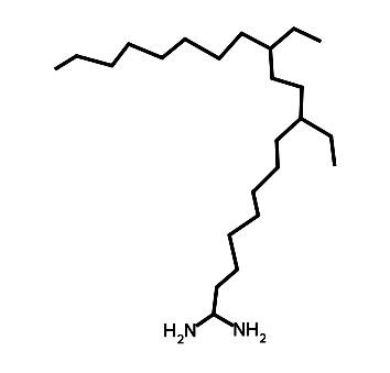 CCCCCCCCC(CC)CCC(CC)CCCCCCCC(N)N